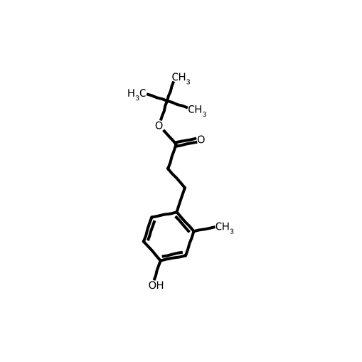 Cc1cc(O)ccc1CCC(=O)OC(C)(C)C